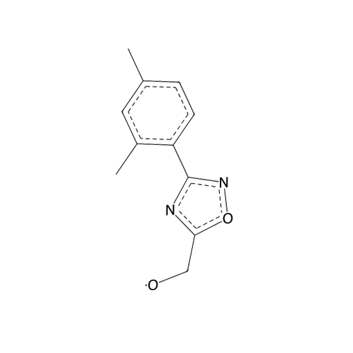 Cc1ccc(-c2noc(C[O])n2)c(C)c1